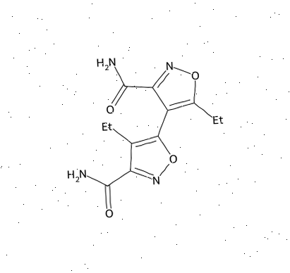 CCc1onc(C(N)=O)c1-c1onc(C(N)=O)c1CC